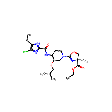 CCOC(=O)C1(C)COC(N2CCC(NC(=O)c3nc(Cl)c(CC)[nH]3)C(OCC(C)C)C2)=N1